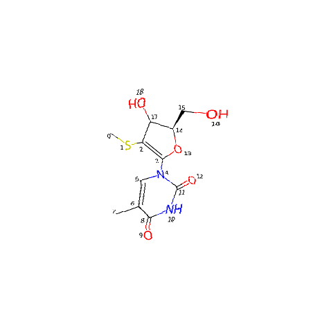 CSC1=C(n2cc(C)c(=O)[nH]c2=O)O[C@H](CO)C1O